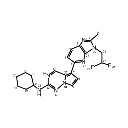 Cc1nc2ccc(-c3ccn4nc(NC5CCCCC5)ncc34)nc2n1CC(F)F